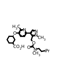 Cc1nc(-c2cnn(C)c2COC(=O)N(C)CCC(C)C)ccc1O[C@H]1CCCC(C(=O)O)C1